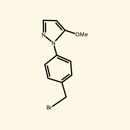 COc1ccnn1-c1ccc(CBr)cc1